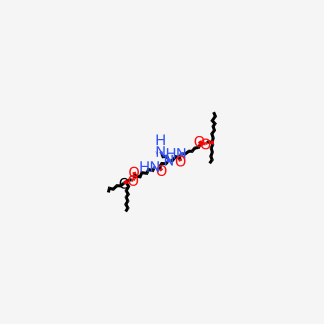 CCCCCCCCC(CCCCCC)COC(=O)CCCCCNC(=O)CCN(CCNC)CCC(=O)NCCCCCC(=O)OCC(CCCCCC)CCCCCCCC